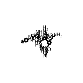 Cc1nc(-c2ccc(C(C)(C)C)cc2)nc(C)c1C(=O)NC(CCN)C(=O)N(C)C1C(=O)NC(C)C(=O)NC(C(=O)NCC#N)Cc2ccc(OCC(O)CN)c(c2)-c2cc1ccc2OCC(O)CN